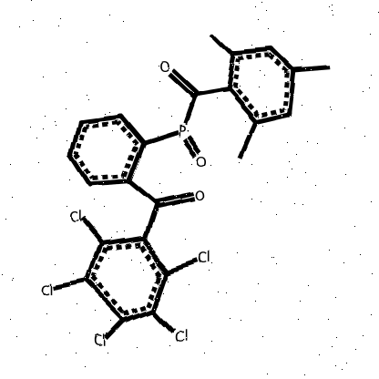 Cc1cc(C)c(C(=O)[P](=O)c2ccccc2C(=O)c2c(Cl)c(Cl)c(Cl)c(Cl)c2Cl)c(C)c1